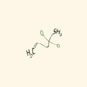 C=CCC([SiH3])(Cl)Cl